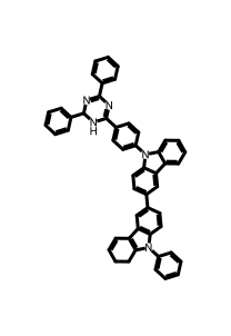 C1=Cc2c(n(-c3ccccc3)c3ccc(-c4ccc5c(c4)c4ccccc4n5-c4ccc(C5=NC(c6ccccc6)=NC(c6ccccc6)N5)cc4)cc23)CC1